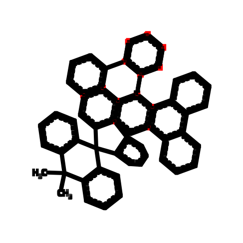 CC1(C)c2ccccc2C2(c3ccccc3-c3c(N(c4ccccc4-c4ccccc4-c4ccccc4-c4ccccc4)c4cc5ccccc5c5ccccc45)cccc32)c2ccccc21